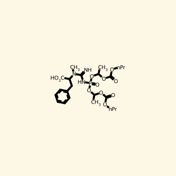 CCCOC(=O)OC(C)OP(=O)(NC(=N)N(C)C(Cc1ccccc1)C(=O)O)OC(C)OC(=O)OCCC